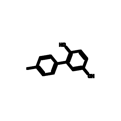 Cc1ccc(-c2cc(O)ccc2O)cc1